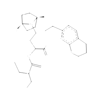 CCC(CC)C(=O)NC(CCN1[C@H]2CC[C@@H]1[C@H](CCc1ccc3c(n1)NCCC3)C2)C(=O)O